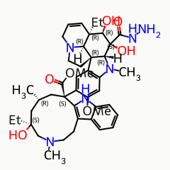 CC[C@]1(O)C[C@H](C)C[C@](C(=O)OC)(c2cc3c(cc2OC)N(C)[C@H]2[C@@](O)(C(=O)NN)[C@H](O)[C@]4(CC)C=CCN5CC[C@]32[C@@H]54)c2[nH]c3ccccc3c2CCN(C)C1